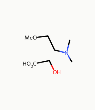 COCCN(C)C.O=C(O)CO